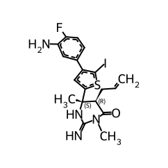 C=CC[C@H]1C(=O)N(C)C(=N)N[C@]1(C)c1cc(-c2ccc(F)c(N)c2)c(I)s1